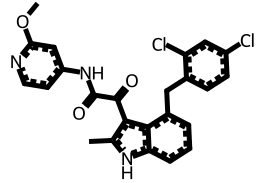 COc1cc(NC(=O)C(=O)c2c(C)[nH]c3cccc(Cc4ccc(Cl)cc4Cl)c23)ccn1